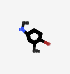 COc1cc(NC=O)ccc1Br